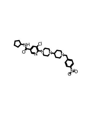 O=C(NC1CCCC1)c1cnc(N2CCN(C3CCN(Cc4ccc([N+](=O)[O-])cc4)CC3)CC2)c(Cl)c1